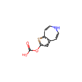 O=C(O)Oc1cc2c(s1)C=CNC=C2